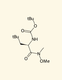 CON(C)C(=O)[C@@H](CC(C)(C)C)NC(=O)OC(C)(C)C